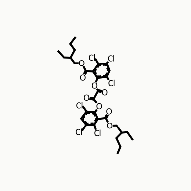 CCCC(CC)COC(=O)c1c(Cl)c(Cl)cc(Cl)c1OC(=O)C(=O)Oc1c(Cl)cc(Cl)c(Cl)c1C(=O)OCC(CC)CCC